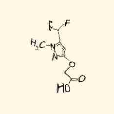 Cn1nc(OCC(=O)O)cc1C(F)F